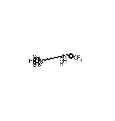 CN1CN(CCCCCCCCCC(O)CNCc2ccc(C(F)(F)F)cc2)c2c1c(=O)[nH]c(=O)n2C